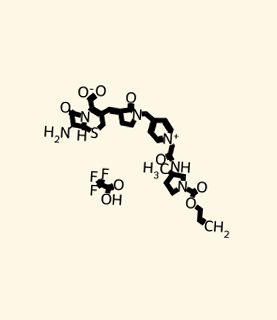 C=CCOC(=O)N1CCC(C)(NC(=O)C[n+]2ccc(CN3CC/C(=C\C4=C(C(=O)[O-])N5C(=O)[C@@H](N)[C@H]5SC4)C3=O)cc2)C1.O=C(O)C(F)(F)F